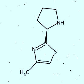 Cc1csc([C@H]2CCCN2)n1